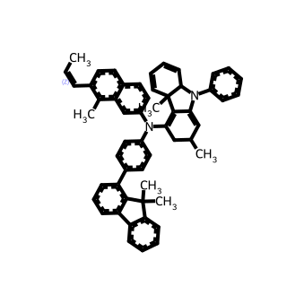 C/C=C\c1ccc2ccc(N(C3=C4C(=CC(C)C3)N(c3ccccc3)C3C=CC=CC43C)c3ccc(-c4cccc5c4C(C)(C)c4ccccc4-5)cc3)cc2c1C